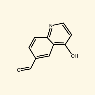 O=Cc1ccc2nccc(O)c2c1